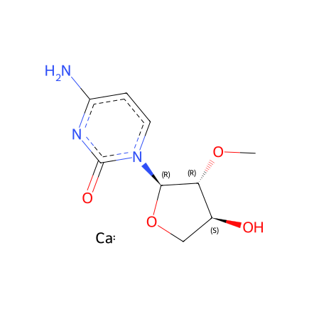 CO[C@H]1[C@H](n2ccc(N)nc2=O)OC[C@@H]1O.[Ca]